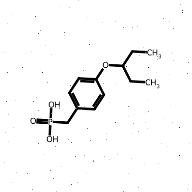 CCC(CC)Oc1ccc(CP(=O)(O)O)cc1